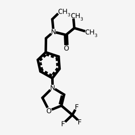 CCN(Cc1ccc(N2C=C(C(F)(F)F)OC2)cc1)C(=O)C(C)C